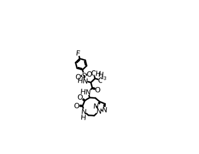 CC(C)C(NS(=O)(=O)c1ccc(F)cc1)C(=O)NC1Cc2cnn(n2)CCNC(=O)C1=O